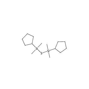 C[Si](C)(S[Si](C)(C)C1CCCC1)C1CCCC1